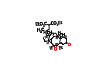 CCOC(=O)C(C[C@@H](C)[C@H]1CC[C@]23C4C[C@H](CCC12C)C1(C)CCC(=O)C=C1[C@@]1(CC)O[C@H]1C43)C(=O)OCC